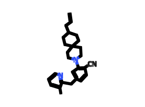 C=CCC1CCC2(CC1)CCN(c1cc(Cc3ncccc3C)ccc1C#N)CC2